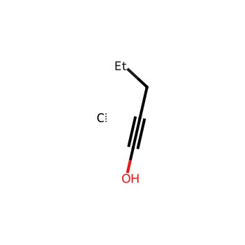 CCCC#CO.[C]